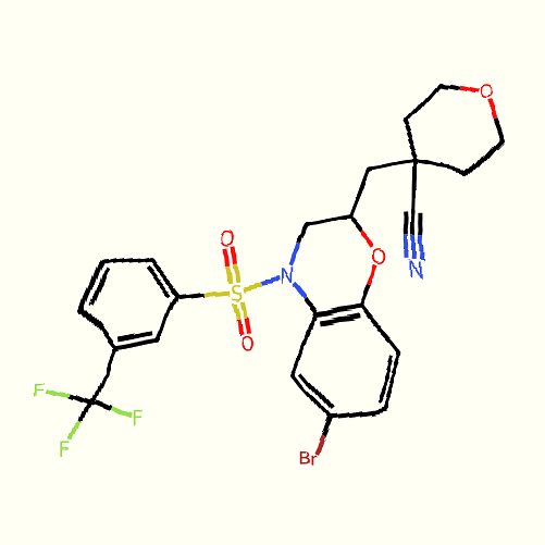 N#CC1(CC2CN(S(=O)(=O)c3cccc(C(F)(F)F)c3)c3cc(Br)ccc3O2)CCOCC1